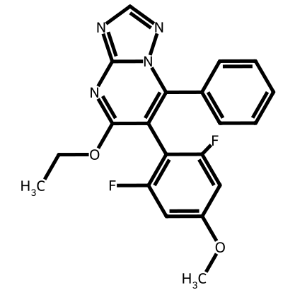 CCOc1nc2ncnn2c(-c2ccccc2)c1-c1c(F)cc(OC)cc1F